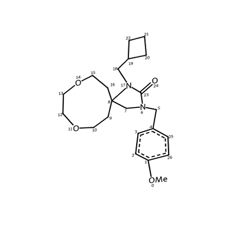 COc1ccc(CN2CC3(CCOCCOCC3)N(CC3CCC3)C2=O)cc1